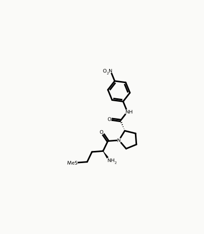 CSCC[C@H](N)C(=O)N1CCC[C@H]1C(=O)Nc1ccc([N+](=O)[O-])cc1